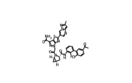 CC(=O)c1ccc(Cl)c(-c2cccc(NC(=O)[C@@H]3C[C@H]4C[C@H]4N3C(=O)Cn3nc(C(N)=O)c4sc(-c5cnc6cc(C)nn6c5)nc43)c2F)c1